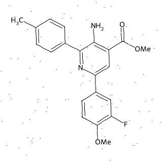 COC(=O)c1cc(-c2ccc(OC)c(F)c2)nc(-c2ccc(C)cc2)c1N